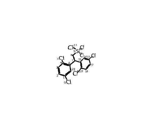 Clc1ccc(Cl)c(C(C[Si](Cl)(Cl)Cl)c2cc(Cl)ccc2Cl)c1